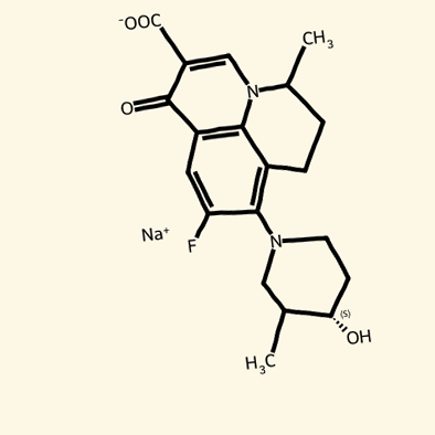 CC1CN(c2c(F)cc3c(=O)c(C(=O)[O-])cn4c3c2CCC4C)CC[C@@H]1O.[Na+]